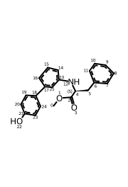 COC(=O)[C@H](Cc1ccccc1)Nc1cccc(-c2ccc(O)cc2)c1